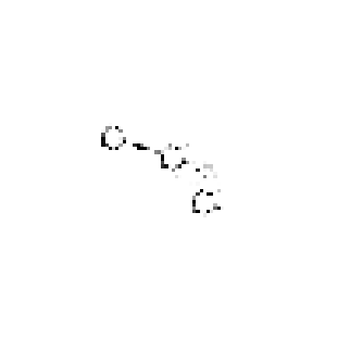 O=S(=O)(Nc1c(F)cc(C#Cc2ccccc2)cc1F)c1cccc(C(F)(F)F)c1Cl